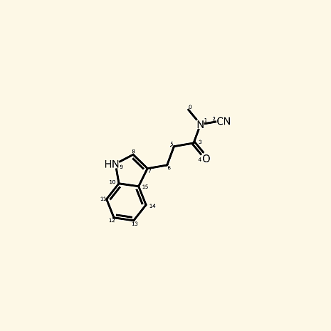 CN(C#N)C(=O)[CH]Cc1c[nH]c2ccccc12